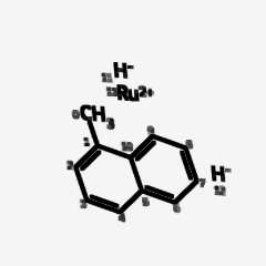 Cc1cccc2ccccc12.[H-].[H-].[Ru+2]